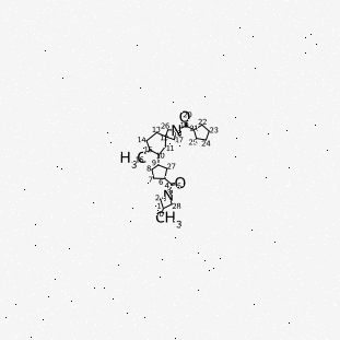 CC1CN(C(=O)C2CCC(C3CC4(CCC3C)CN(C(=O)C3CCCC3)C4)C2)C1